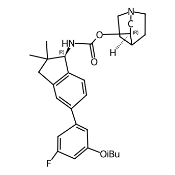 CC(C)COc1cc(F)cc(-c2ccc3c(c2)CC(C)(C)[C@H]3NC(=O)O[C@H]2CN3CCC2CC3)c1